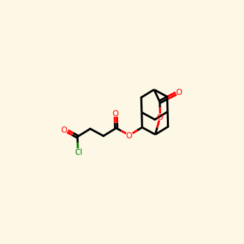 O=C(Cl)CCC(=O)OC1C2CC3CC(C2)C(=O)OC1C3